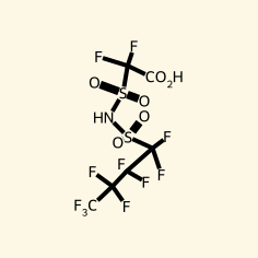 O=C(O)C(F)(F)S(=O)(=O)NS(=O)(=O)C(F)(F)C(F)(F)C(F)(F)C(F)(F)F